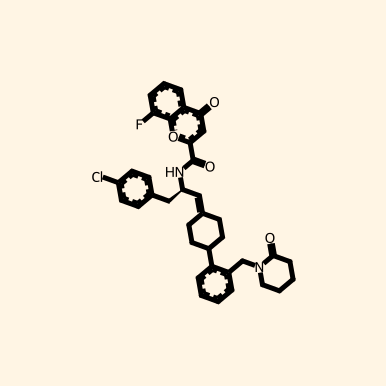 O=C(N[C@@H](C=C1CCC(c2ccccc2CN2CCCCC2=O)CC1)Cc1ccc(Cl)cc1)c1cc(=O)c2cccc(F)c2o1